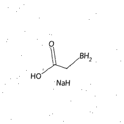 BCC(=O)O.[NaH]